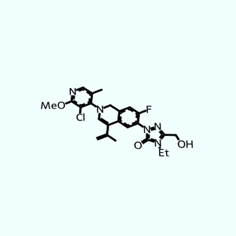 C=C(C)C1=CN(c2c(C)cnc(OC)c2Cl)Cc2cc(F)c(-n3nc(CO)n(CC)c3=O)cc21